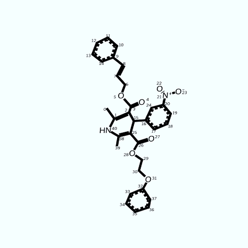 CC1=C(C(=O)OC/C=C/c2ccccc2)C(c2cccc([N+](=O)[O-])c2)C(C(=O)OCCOc2ccccc2)=C(C)N1